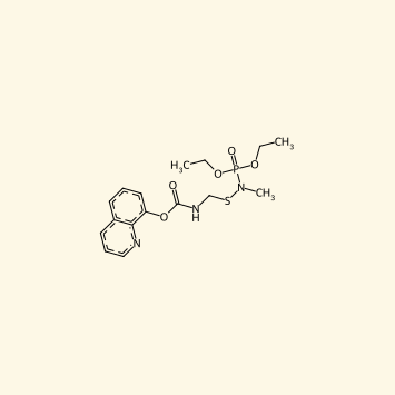 CCOP(=O)(OCC)N(C)SCNC(=O)Oc1cccc2cccnc12